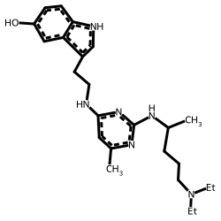 CCN(CC)CCCC(C)Nc1nc(C)cc(NCCc2c[nH]c3ccc(O)cc23)n1